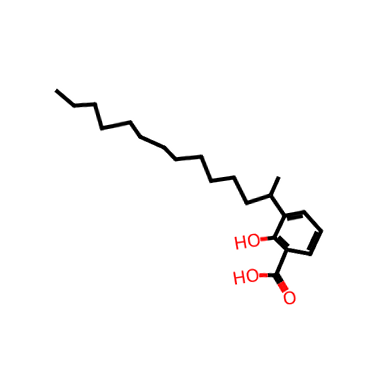 CCCCCCCCCCCCC(C)c1cccc(C(=O)O)c1O